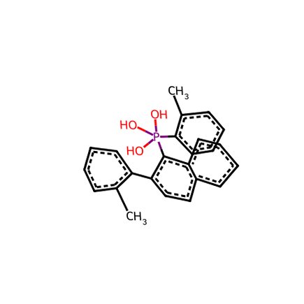 Cc1ccccc1-c1ccc2ccccc2c1P(O)(O)(O)c1ccccc1C